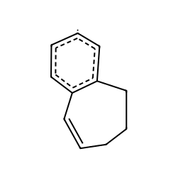 [c]1ccc2c(c1)CCCC=C2